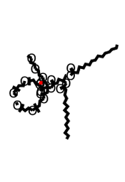 CCCCCCCCCCCCCCC(=O)OCC(CCC(=O)OC(CC(=O)OCCOCCOC)(CC(=O)OCCC(C)(C)OCCC(C)(C)OC)C(=O)OCCC(C)(C)OCCC(C)(C)OC)OC(=O)CCCCCCCCCCCCCC